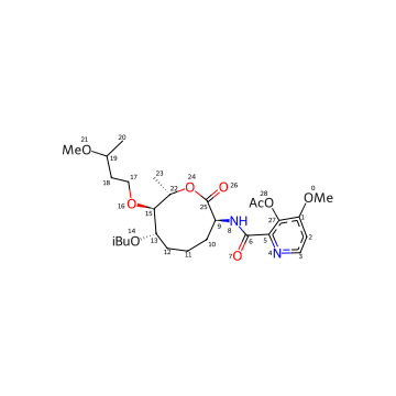 COc1ccnc(C(=O)N[C@H]2CCC[C@H](OCC(C)C)[C@@H](OCCC(C)OC)[C@H](C)OC2=O)c1OC(C)=O